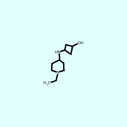 CCN1CCC(NC2CC(O)C2)CC1